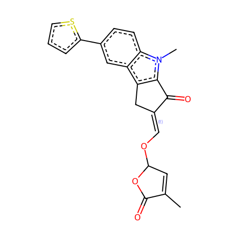 CC1=CC(O/C=C2\Cc3c(n(C)c4ccc(-c5cccs5)cc34)C2=O)OC1=O